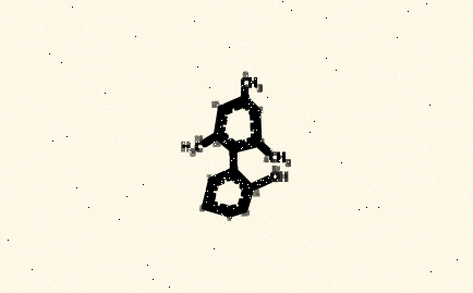 Cc1cc(C)c(-c2ccccc2O)c(C)c1